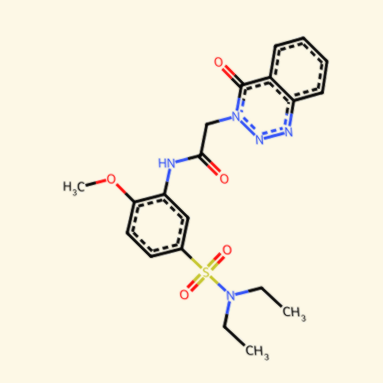 CCN(CC)S(=O)(=O)c1ccc(OC)c(NC(=O)Cn2nnc3ccccc3c2=O)c1